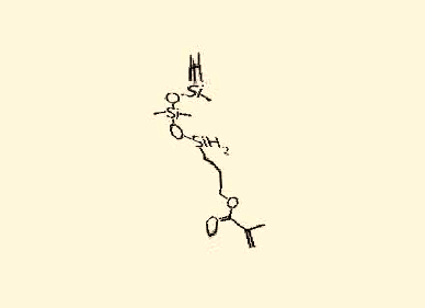 C=C(C)C(=O)OCCC[SiH2]O[Si](C)(C)O[SiH](C)C